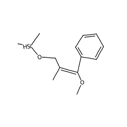 COC(=C(C)CO[SiH](C)C)c1ccccc1